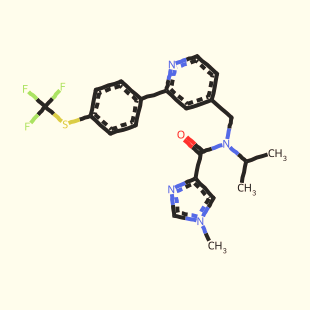 CC(C)N(Cc1ccnc(-c2ccc(SC(F)(F)F)cc2)c1)C(=O)c1cn(C)cn1